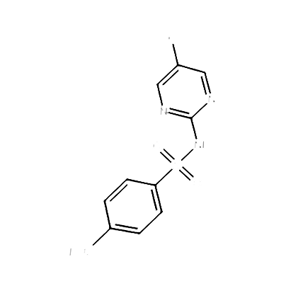 Cc1ccc(S(=O)(=O)Nc2ncc(Cl)cn2)cc1